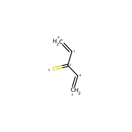 C=CC(=S)C=C